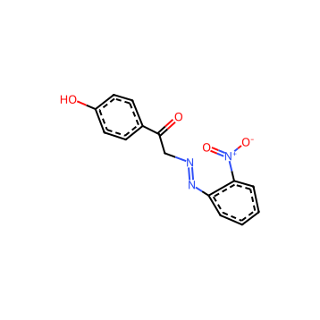 O=C(CN=Nc1ccccc1[N+](=O)[O-])c1ccc(O)cc1